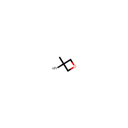 CC[CH]C1(C)COC1